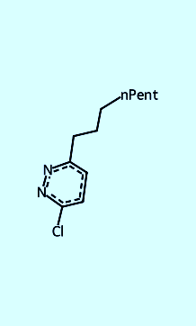 CCCCCCCCc1ccc(Cl)nn1